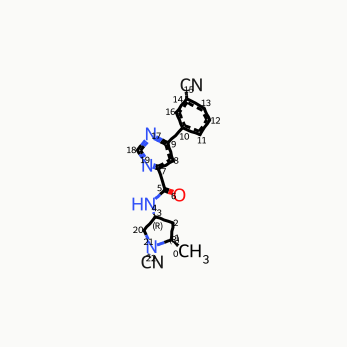 C[C@@H]1C[C@@H](NC(=O)c2cc(-c3cccc(C#N)c3)ncn2)CN1C#N